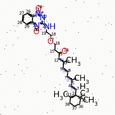 CC1=C(/C=C/C(C)=C/C=C/C(C)=C/C(=O)CCOCCNc2n[n+]([O-])c3ccccc3[n+]2[O-])C(C)(C)CCC1